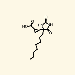 CCCCCCCCC1(C2CC2C(=O)O)NC(=O)NC1=O